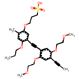 CC#Cc1cc(OCCOC)c(C#Cc2cc(OCCCS(=O)(=O)O)c(C)cc2OCCC)cc1OCCOC